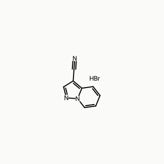 Br.N#Cc1cnn2ccccc12